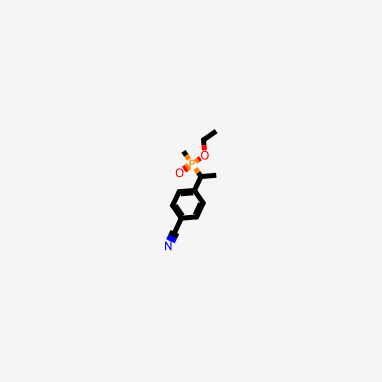 CCOP(C)(=O)C(C)c1ccc(C#N)cc1